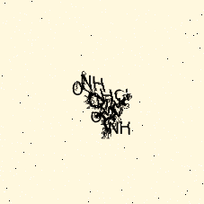 CNC(=O)[C@H]1CC[C@H](n2c(NC(C)C)nc3c(c2=O)C[C@@H](C)NC3)CC1.Cl